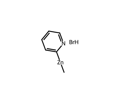 Br.[CH3][Zn][c]1ccccn1